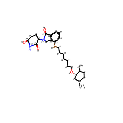 CC(C)[C@H]1CC[C@H](C)C[C@@H]1OCCCCCCCSc1cccc2c1CN(C1CCC(=O)NC1=O)C2=O